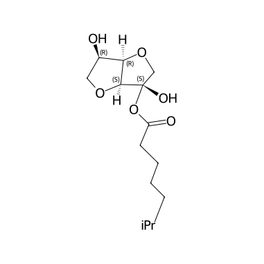 CC(C)CCCCC(=O)O[C@@]1(O)CO[C@@H]2[C@H](O)CO[C@@H]21